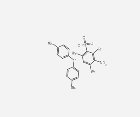 CC(C)(C)c1ccc([I+]c2ccc(C(C)(C)C)cc2)cc1.CC(C)c1cc(C(C)C)c(S(=O)(=O)[O-])c(C(C)C)c1[N+](=O)[O-]